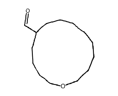 O=CC1CCCCCCCCOCCCC1